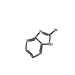 Brc1nc2ncccc2[nH]1